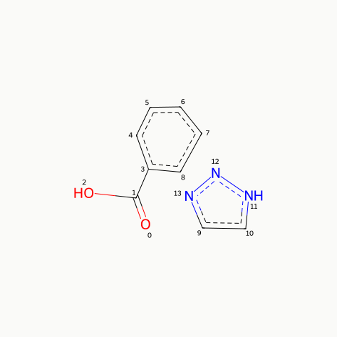 O=C(O)c1ccccc1.c1c[nH]nn1